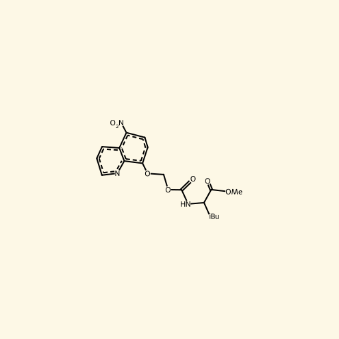 CCC(C)C(NC(=O)OCOc1ccc([N+](=O)[O-])c2cccnc12)C(=O)OC